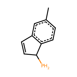 Cc1ccc2c(c1)C=CC2P